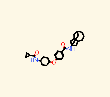 O=C(NC12CC3CCCC(C1)C(C3)C2)c1ccc(OC2CCC(NC(=O)C3CC3)CC2)cc1